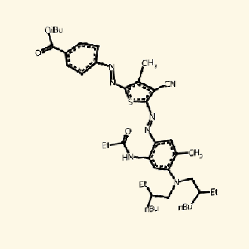 CCCCC(CC)CN(CC(CC)CCCC)c1cc(NC(=O)CC)c(N=Nc2sc(N=Nc3ccc(C(=O)OCC(C)C)cc3)c(C)c2C#N)cc1C